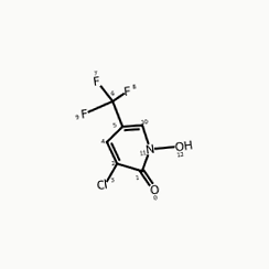 O=c1c(Cl)cc(C(F)(F)F)cn1O